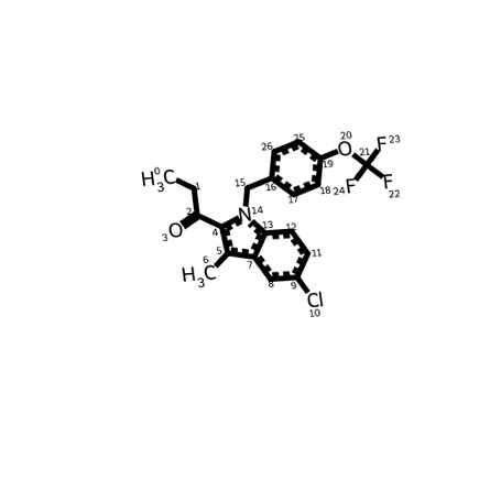 CCC(=O)c1c(C)c2cc(Cl)ccc2n1Cc1ccc(OC(F)(F)F)cc1